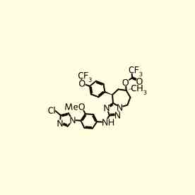 COc1cc(Nc2nc3n(n2)CC[C@](C)(OC(=O)C(F)(F)F)C[C@@H]3c2ccc(OC(F)(F)F)cc2)ccc1-n1cnc(Cl)c1